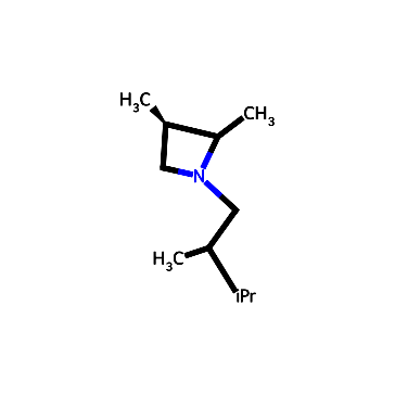 CC(C)C(C)CN1C[C@@H](C)C1C